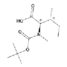 CC[C@@H](C)[C@H](C(=O)O)N(C)C(=O)OC(C)(C)C